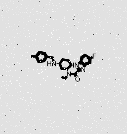 CCN(C(=O)c1nc2cc(F)ccc2[nH]1)[C@H]1CCC[C@@H](NCc2ccc(C)cc2)C1